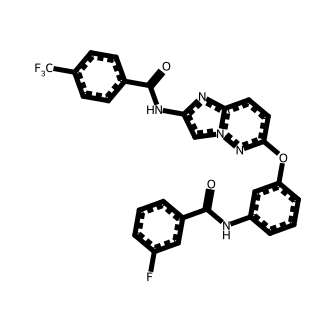 O=C(Nc1cccc(Oc2ccc3nc(NC(=O)c4ccc(C(F)(F)F)cc4)cn3n2)c1)c1cccc(F)c1